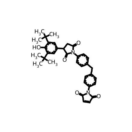 CC(C)(C)c1cc(C2CC(=O)N(c3ccc(Cc4ccc(N5C(=O)C=CC5=O)cc4)cc3)C2=O)cc(C(C)(C)C)c1O